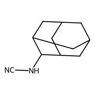 N#CNC1C2CC3CC(C2)CC1C3